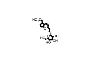 O=C(O)CC1CCC(=O)C1/C=C\CCCO[C@@H]1O[C@H](CO)[C@@H](O)[C@H](O)[C@H]1O